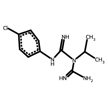 CC(C)N(C(=N)N)C(=N)Nc1ccc(Cl)cc1